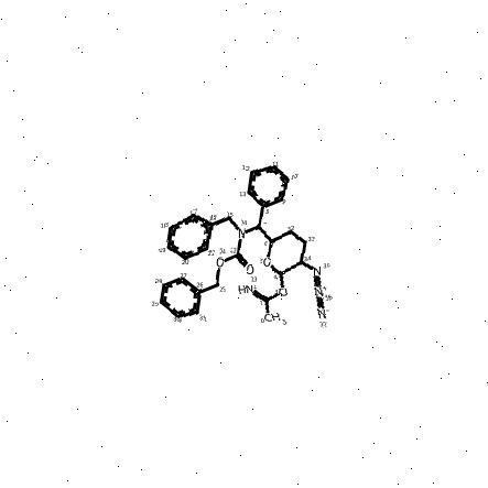 CC(=N)OC1OC(C(c2ccccc2)N(Cc2ccccc2)C(=O)OCc2ccccc2)CCC1N=[N+]=[N-]